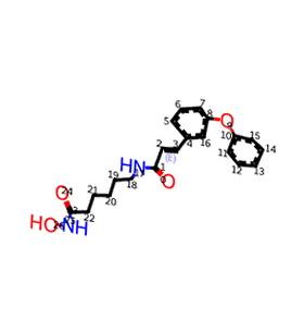 O=C(/C=C/c1cccc(Oc2ccccc2)c1)NCCCCCC(=O)NO